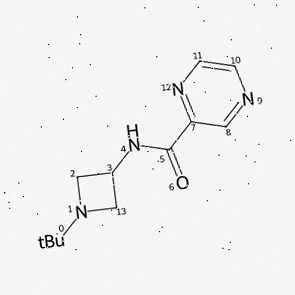 CC(C)(C)N1CC(NC(=O)c2cnccn2)C1